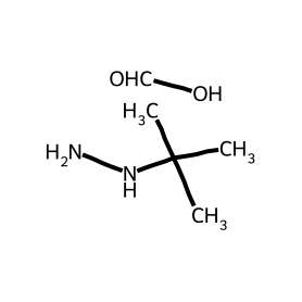 CC(C)(C)NN.O=CO